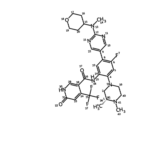 C[C@@H]1CN(c2cc(F)c(-c3cnc(N(C)C4CCOCC4)nc3)cc2NC(=O)c2c[nH]c(=O)cc2C(F)(F)F)CCN1C